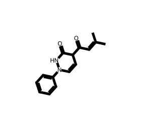 CC(C)=CC(=O)C1C=CN(c2ccccc2)NC1=O